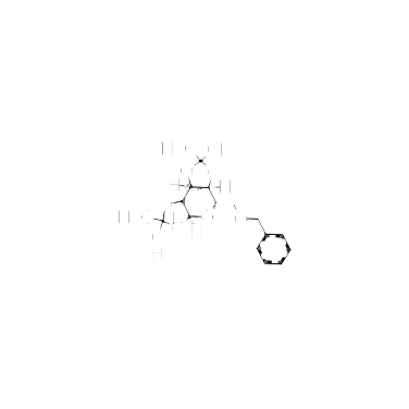 CC1(C)O[C@@H]2O[C@@H](COCc3ccccc3)[C@H]3OC(C)(C)O[C@H]3[C@@H]2O1